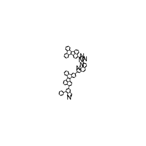 c1ccc(-c2cc(-c3ccc4c5c(cccc35)-c3c-4c4ccc(-c5cnc6c(ccc7ccc(-c8ncnc(-c9ccc%10c%11c(cccc9%11)-c9c-%10c%10ccccc%10c%10ccccc9%10)n8)nc76)c5)cc4c4ccccc34)cc3ccncc23)cc1